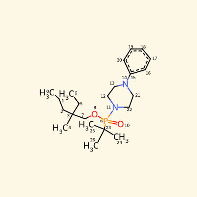 CCCC(C)(CC)COP(=O)(N1CCN(c2ccccc2)CC1)C(C)(C)C